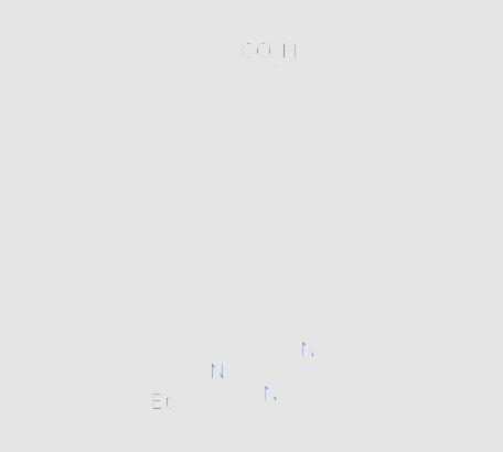 CCn1nnc2c(C)c(CCC(=O)O)ccc21